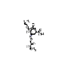 C=CCON1C(=O)N2C[C@H]1/C(=N/OCC(=O)NC)C[C@H]2C(=O)O